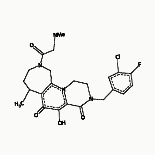 CNCC(=O)N1CCC(C)c2c(n3c(c(O)c2=O)C(=O)N(Cc2ccc(F)c(Cl)c2)CC3)C1